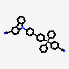 N#Cc1ccc([Si](c2ccccc2)(c2ccccc2)c2ccc(-c3ccc(-n4c5ccccc5c5cc(C#N)ccc54)cc3)cc2)cc1